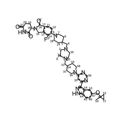 C[C@@H]1CN(CC2CCN(c3ccc4c(c3F)CN(C3CCC(=O)NC3=O)C4=O)CC2)CCN1CC1CCN(c2cc(-c3n[nH]c4ccc(OC5(C)CC5)cc34)ncn2)CC1